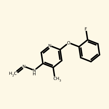 C=NNc1cnc(Oc2ccccc2F)cc1C